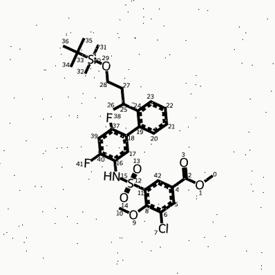 COC(=O)c1cc(Cl)c(OC)c(S(=O)(=O)Nc2cc(-c3ccccc3C(C)CCO[Si](C)(C)C(C)(C)C)c(F)cc2F)c1